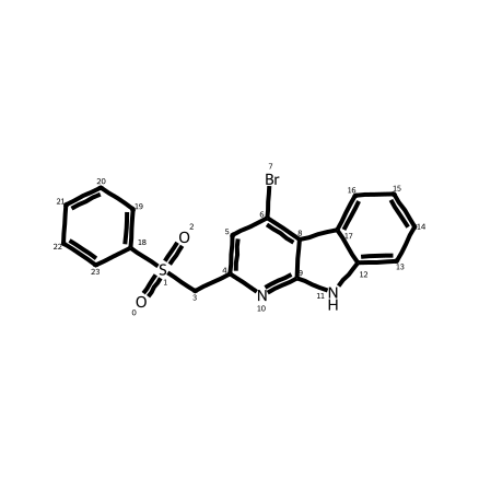 O=S(=O)(Cc1cc(Br)c2c(n1)[nH]c1ccccc12)c1ccccc1